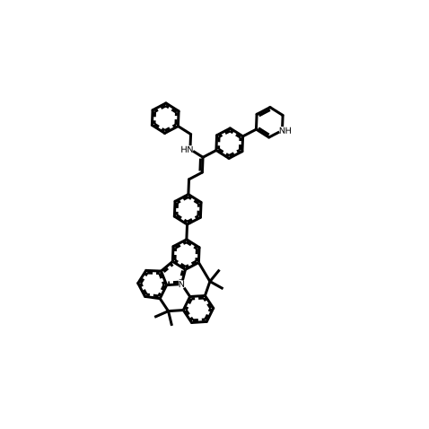 CC1(C)c2cccc3c2-n2c4c1cccc4c1cc(-c4ccc(C/C=C(\NCc5ccccc5)c5ccc(C6=CNCC=C6)cc5)cc4)cc(c12)C3(C)C